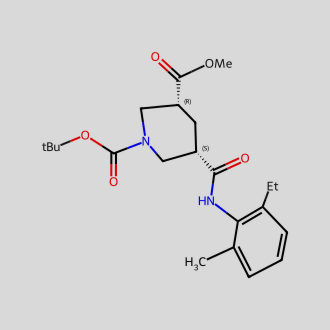 CCc1cccc(C)c1NC(=O)[C@H]1C[C@@H](C(=O)OC)CN(C(=O)OC(C)(C)C)C1